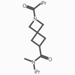 CC(C)C(=O)N1CC2(CC(C(=O)N(C)C(C)C)C2)C1